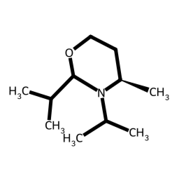 CC(C)C1OCC[C@@H](C)N1C(C)C